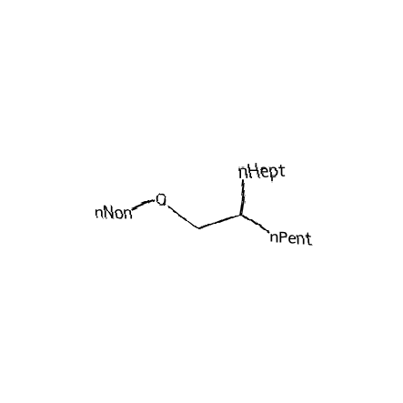 CCCCCCCCCOCC(CCCCC)CCCCCCC